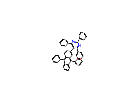 c1ccc(-c2nc(-c3ccccc3)c(-c3ccc4c(-c5ccccc5)c5ccccc5c(-c5ccccc5)c4c3)c(-c3ccccc3)n2)cc1